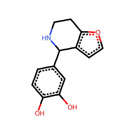 Oc1ccc(C2NCCc3occc32)cc1O